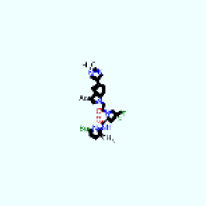 CC(=O)c1cn(CC(=O)N2C[C@@](F)(CF)C[C@H]2C(=O)Nc2nc(Br)ccc2C)c2ccc(-c3cnc(C)nc3)cc12